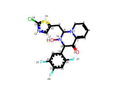 O=C1C2=CC=CCN2C(Cc2cnc(Cl)s2)N(O)C1c1cc(F)c(F)cc1F